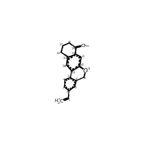 C=Cc1ccc2c(c1)COc1cc3c(cc1-2)CCCC3=O